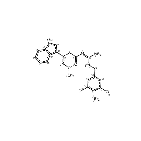 CON=C(CC(=O)N=C(N)NCc1cc(Cl)c(N)c(Cl)c1)c1c[nH]c2ccccc12